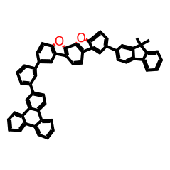 CC1(C)c2ccccc2-c2ccc(-c3ccc4oc5c(ccc6c7cc(-c8cccc(-c9ccc%10c%11ccccc%11c%11ccccc%11c%10c9)c8)ccc7oc65)c4c3)cc21